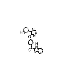 O=C(c1ccc(Oc2nccnc2C2CCCNC2)cc1)c1nc2ccccc2[nH]1